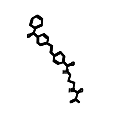 C=C(C)C(=O)NCCCNC(=O)c1ccc(/C=C/c2ccc(C(=O)c3ccccc3)cc2)cc1